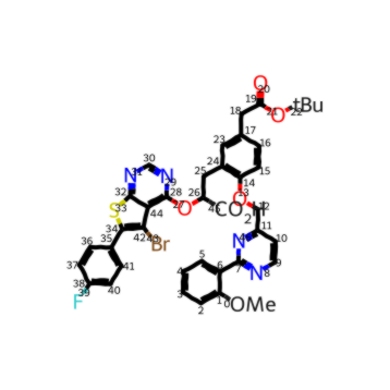 COc1ccccc1-c1nccc(COc2ccc(CC(=O)OC(C)(C)C)cc2CC(Oc2ncnc3sc(-c4ccc(F)cc4)c(Br)c23)C(=O)O)n1